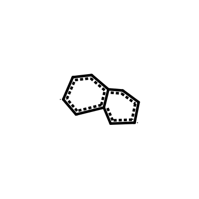 [c]1ccc2cc[c]cc2c1